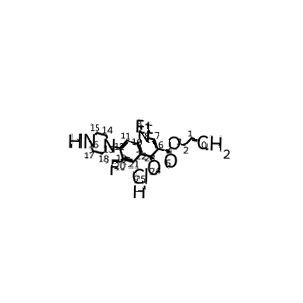 C=CCOC(=O)c1cn(CC)c2cc(N3CCNCC3)c(F)cc2c1=O.Cl